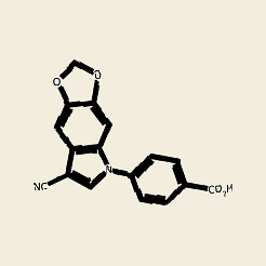 N#Cc1cn(-c2ccc(C(=O)O)cc2)c2cc3c(cc12)OCO3